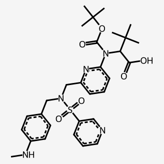 CNc1ccc(CN(Cc2cccc(N(C(=O)OC(C)(C)C)C(C(=O)O)C(C)(C)C)n2)S(=O)(=O)c2cccnc2)cc1